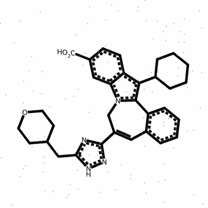 O=C(O)c1ccc2c(C3CCCCC3)c3n(c2c1)CC(c1n[nH]c(CC2CCOCC2)n1)=Cc1ccccc1-3